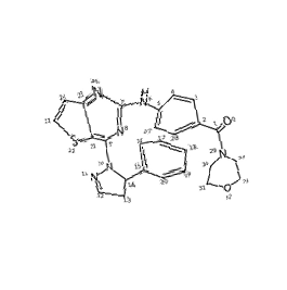 O=C(c1ccc(Nc2nc(N3N=CCC3c3ccccc3)c3sccc3n2)cc1)N1CCOCC1